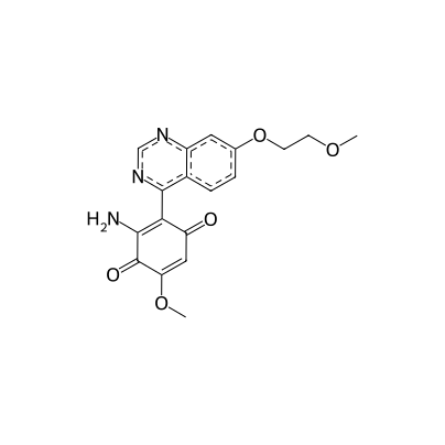 COCCOc1ccc2c(C3=C(N)C(=O)C(OC)=CC3=O)ncnc2c1